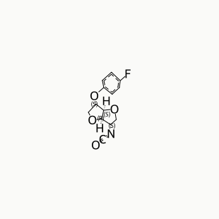 O=C=N[C@H]1CO[C@H]2[C@@H]1OC[C@@H]2Oc1ccc(F)cc1